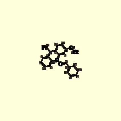 CCOc1ccc(C(c2ccccc2OOCc2ccccc2)C(C)C)cc1